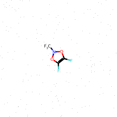 FC1=C(F)ON(C(F)(F)F)O1